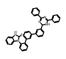 CCC1Nc2ccccc2N1c1ccccc1-c1cccc(-c2cccc(C3N=C(c4ccccc4)N=C(c4ccccc4)N3)c2)c1